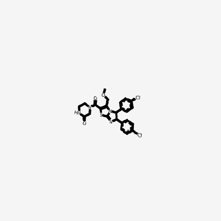 COCC1=C(C(=O)N2CCNC(=O)C2)SC2=NC(c3ccc(Cl)cc3)C(c3ccc(Cl)cc3)N21